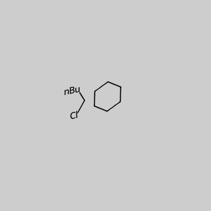 C1CCCCC1.CCCCCCl